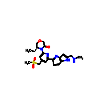 CC[C@@H]1COCC(=O)N1c1cc(CS(C)(=O)=O)cc(-c2ccc3[nH]c(CNC)cc3n2)n1